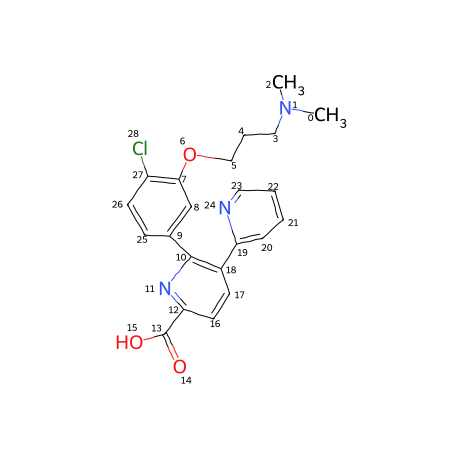 CN(C)CCCOc1cc(-c2nc(C(=O)O)ccc2-c2ccccn2)ccc1Cl